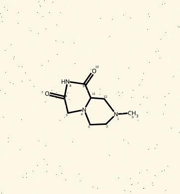 CN1CCN2CC(=O)NC(=O)C2C1